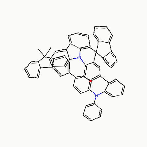 CC1(C)c2ccccc2-c2cc(-c3ccc(N(c4ccccc4)c4ccccc4-c4ccc5c(c4)C4(c6ccccc6-c6ccccc64)c4cccc6c7ccccc7n-5c46)cc3)ccc21